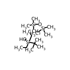 CC[Si](O)(CC)C(C)(C)C.C[Si](C)(C)O[Si](C)(C)C